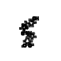 COc1ccc(C2(CNC(=O)c3csc(Cc4cccc(O)c4)n3)CCCC2)cc1OC